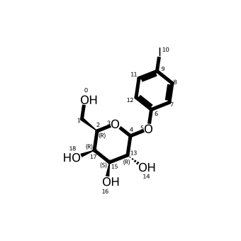 OC[C@H]1OC(Oc2ccc(I)cc2)[C@H](O)[C@@H](O)[C@H]1O